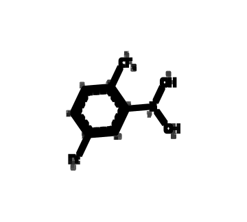 CCc1ccc(C(F)(F)F)c(B(O)O)c1